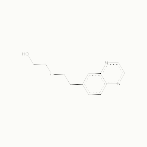 OCCOCCc1ccc2nccnc2c1